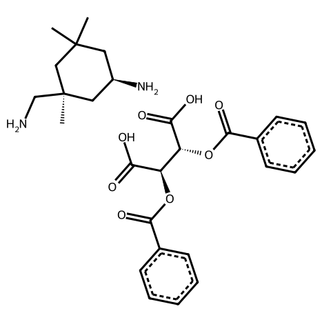 CC1(C)C[C@@H](N)C[C@@](C)(CN)C1.O=C(O[C@@H](C(=O)O)[C@@H](OC(=O)c1ccccc1)C(=O)O)c1ccccc1